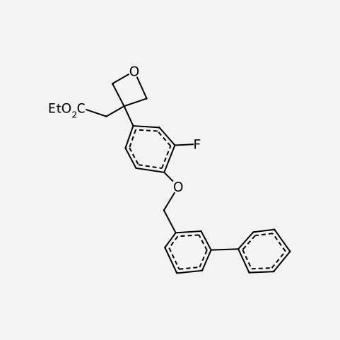 CCOC(=O)CC1(c2ccc(OCc3cccc(-c4ccccc4)c3)c(F)c2)COC1